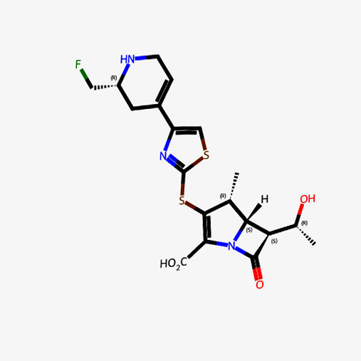 C[C@@H](O)[C@H]1C(=O)N2C(C(=O)O)=C(Sc3nc(C4=CCN[C@@H](CF)C4)cs3)[C@H](C)[C@H]12